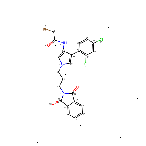 O=C(CBr)Nc1cn(CCCN2C(=O)c3ccccc3C2=O)cc1-c1ccc(Cl)cc1Cl